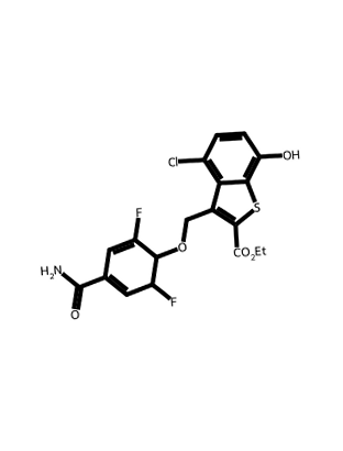 CCOC(=O)c1sc2c(O)ccc(Cl)c2c1COC1C(F)=CC(C(N)=O)=CC1F